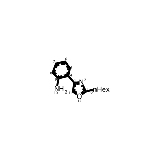 CCCCCCc1nc(-c2ccccc2N)co1